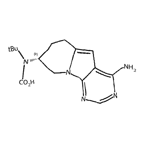 CC(C)(C)N(C(=O)O)[C@@H]1CCc2cc3c(N)ncnc3n2C1